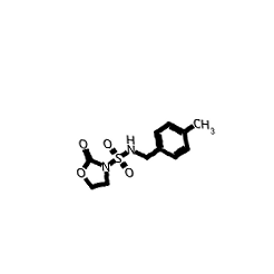 Cc1ccc(CNS(=O)(=O)N2CCOC2=O)cc1